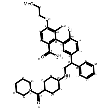 COCCOc1ccc(C(N)=O)c(-c2cc(C(CNC3CCC(C(=O)N4CCCCC4)CC3)c3ccccc3)ccc2Cl)c1F